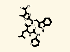 Cc1oc([C@@H](Cc2cn(C)c3ccccc23)NC(=O)C(CC(C)C)NC(=O)Nc2cccnc2)nc1C(=O)O